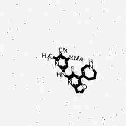 CNc1cc(Nc2nc3c(c(C4=CCNCCC4)c2F)OCC3)nc(C)c1C#N